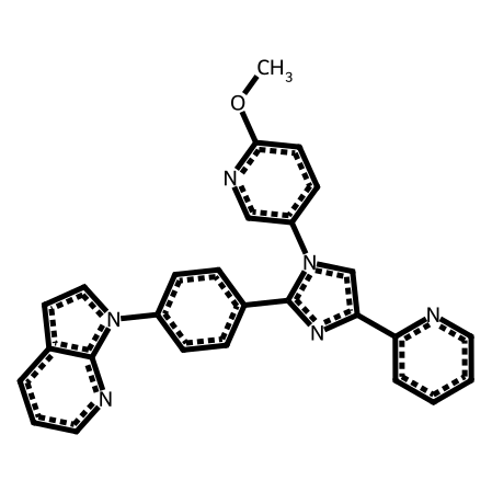 COc1ccc(-n2cc(-c3ccccn3)nc2-c2ccc(-n3ccc4cccnc43)cc2)cn1